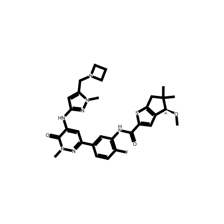 CO[C@H]1c2cc(C(=O)Nc3cc(-c4cc(Nc5cc(CN6CCC6)n(C)n5)c(=O)n(C)n4)ccc3F)sc2CC1(C)C